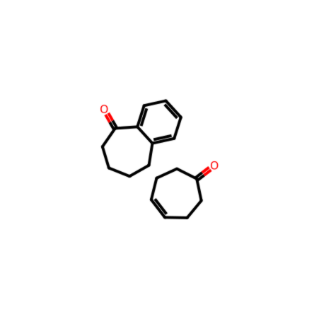 O=C1CCC=CCC1.O=C1CCCCc2ccccc21